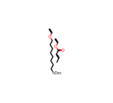 C=COC(=O)C=CC.C=COCCCCCCCCCCCCCCCCCC